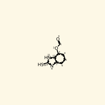 O=COc1cccc2nc(S)[nH]c12